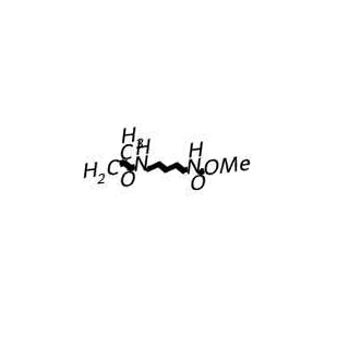 C=C(C)C(=O)NCCCCCNC(=O)OC